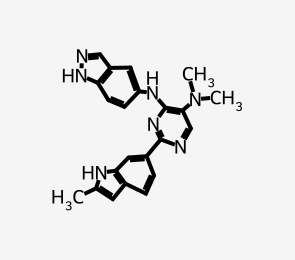 Cc1cc2ccc(-c3ncc(N(C)C)c(Nc4ccc5[nH]ncc5c4)n3)cc2[nH]1